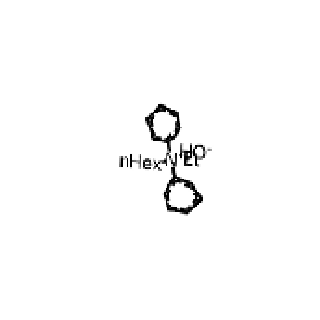 CCCCCC[N+](CC)(c1ccccc1)c1ccccc1.[OH-]